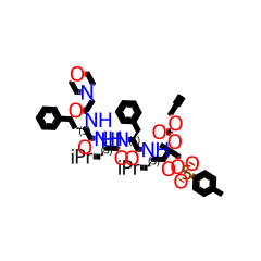 C#CCOC(=O)OC(C)(COS(=O)(=O)c1ccc(C)cc1)C(=O)[C@H](CC(C)C)NC(=O)[C@H](Cc1ccccc1)NC(=O)[C@H](CC(C)C)NC(=O)[C@H](CCc1ccccc1)NC(=O)CN1CCOCC1